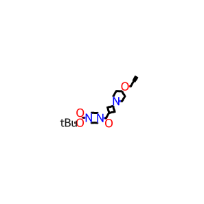 C#CCOC1CCN(C2CC(C(=O)N3CCN(C(=O)OC(C)(C)C)CC3)C2)CC1